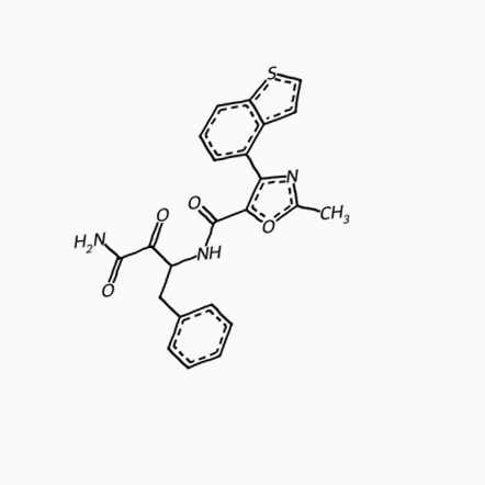 Cc1nc(-c2cccc3sccc23)c(C(=O)NC(Cc2ccccc2)C(=O)C(N)=O)o1